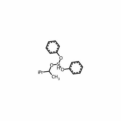 CC(C)C(C)O[SiH](Oc1ccccc1)Oc1ccccc1